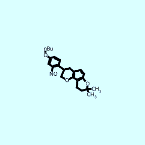 CCCCOc1ccc(C2COc3c(ccc4c3CCC(C)(C)O4)C2)c(N=O)c1